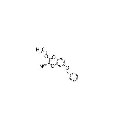 CCOC(=O)C(C#N)Oc1cccc(OCc2ccccc2)c1